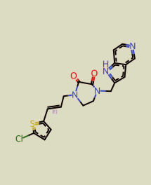 O=C1C(=O)N(Cc2cc3cnccc3[nH]2)CCN1C/C=C/c1ccc(Cl)s1